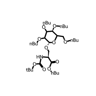 CCCCOCC1O[C@H](OC[C@H](NC(=O)OC(C)(C)C)C(=O)OCCCC)C(OCCCC)C(OCCCC)[C@H]1OCCCC